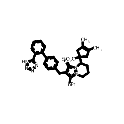 CCCc1c(Cc2ccc(-c3ccccc3-c3nnn[nH]3)cc2)c(=O)n2n1CCCC2C1(C(=O)OCC)CC(C)=C(C)C1